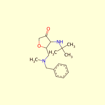 CN(Cc1ccccc1)CC1OCC(=O)C1NC(C)(C)C